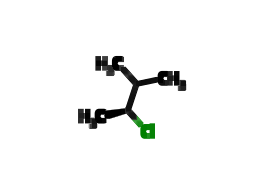 CC(C)[C@H](C)Cl